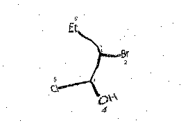 CCC(Br)C(O)Cl